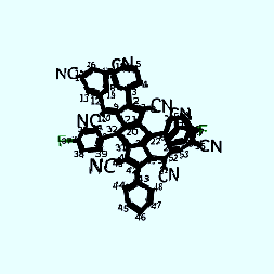 N#CC1=C(c2ccccc2)/C(=C(/C#N)c2cc(C#N)cc(C#N)c2)c2c1c(-c1ccc(F)cc1)c1c(c2-c2ccc(F)cc2)C(C#N)=C(c2ccccc2)C1C(C#N)c1cc(C#N)cc(C#N)c1